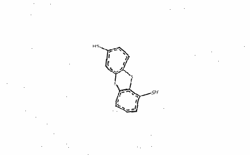 Sc1ccc2c(c1)Sc1cccc(S)c1S2